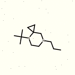 CCCN1CCN(C(C)(C)C)C2(CC2)C1